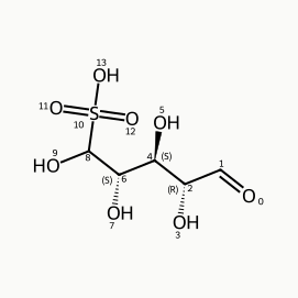 O=C[C@H](O)[C@H](O)[C@H](O)C(O)S(=O)(=O)O